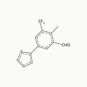 Cc1c(C=O)cc(-c2cccs2)cc1C(F)(F)F